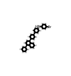 Brc1ccc(Nc2ccc(-c3ccc(-c4ccc(-c5ccccc5)c5ccccc45)cc3)cc2)cc1